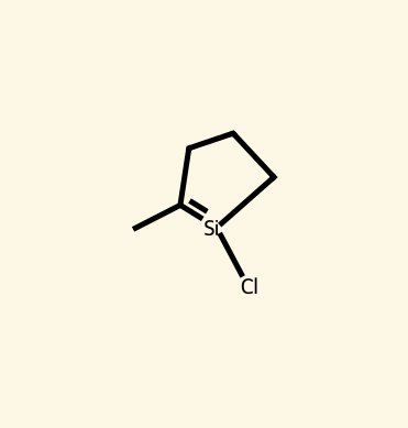 CC1=[Si](Cl)CCC1